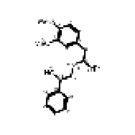 CCCC(Cc1ccc(OC)c(OC)c1)NC[C@H](O)c1ccccc1